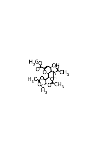 CC[C@@H](OC(C)=O)[C@@H](OC(C)=O)[C@@H]1OC(C(=O)OC)=C[C@H](O)[C@H]1NC(C)=O